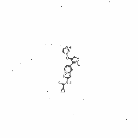 C[C@H]1C[C@H](Oc2cnn(C)c2-c2ccn3nc(NC(=O)C4CC4)cc3c2)CN1